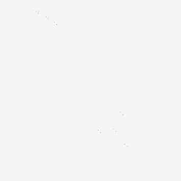 Cc1cc(C(C)Nc2ccc(OCCC(C)(C)OCCOC(C)(C)CCN=[N+]=[N-])cc2)c2nc(N3CCOCC3)cc(=O)n2c1